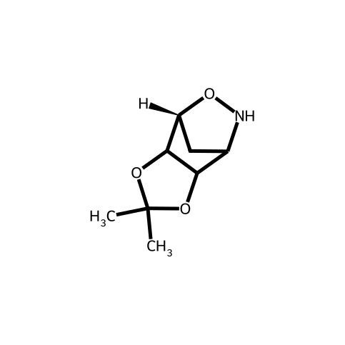 CC1(C)OC2C3C[C@@H](ON3)C2O1